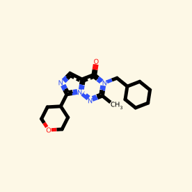 Cc1nn2c(C3CCOCC3)ncc2c(=O)n1CC1CCCCC1